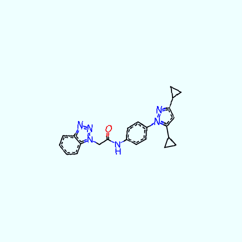 O=C(Cn1nnc2ccccc21)Nc1ccc(-n2nc(C3CC3)cc2C2CC2)cc1